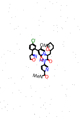 CNC(=O)c1ccc(NC(=O)C(CC2CCCCO2)n2cc(OC)c(-c3cc(Cl)ccc3C3=NOCC3)cc2=O)cn1